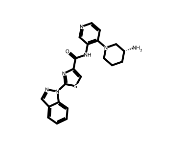 N[C@@H]1CCCN(c2ccncc2NC(=O)c2csc(-n3ncc4ccccc43)n2)C1